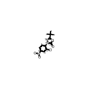 CC(C)(C)c1nn(-c2ccc([N+](=O)[O-])cc2Cl)c(=O)o1